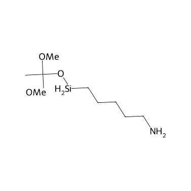 COC(C)(OC)O[SiH2]CCCCCN